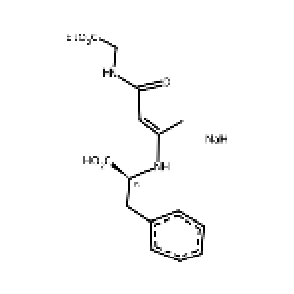 CCOC(=O)CNC(=O)C=C(C)N[C@@H](Cc1ccccc1)C(=O)O.[NaH]